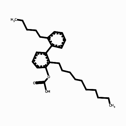 CCCCCCCCCCc1c(OC(=O)O)cccc1-c1ccccc1CCCCC